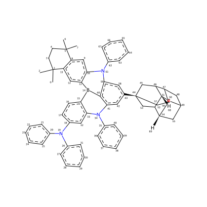 CC1(C)CCC(C)(C)c2cc3c(cc21)B1c2ccc(N(c4ccccc4)c4ccccc4)cc2N(c2ccccc2)c2cc([C@]45CC6C7CC8C[C@@H]6C(C4)[C@@H](C8)C7C5)cc(c21)N3c1ccccc1